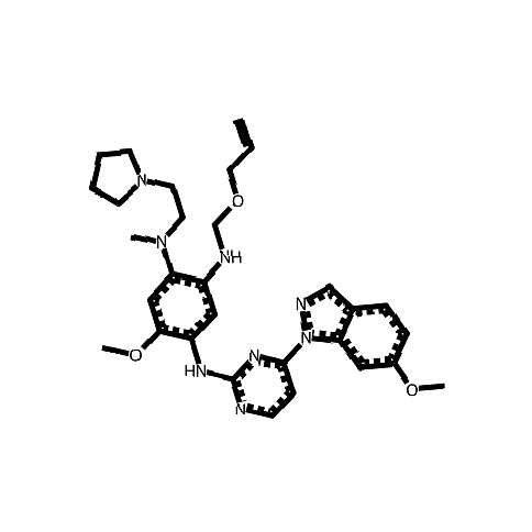 C=CCOCNc1cc(Nc2nccc(-n3ncc4ccc(OC)cc43)n2)c(OC)cc1N(C)CCN1CCCC1